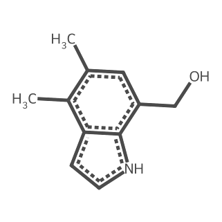 Cc1cc(CO)c2[nH]ccc2c1C